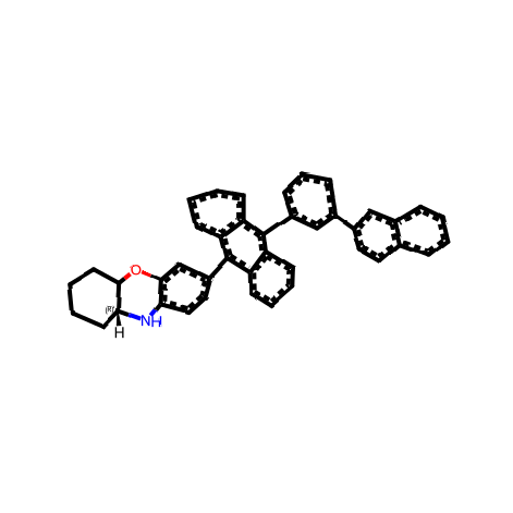 c1cc(-c2ccc3ccccc3c2)cc(-c2c3ccccc3c(-c3ccc4c(c3)OC3CCCC[C@H]3N4)c3ccccc23)c1